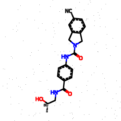 C[C@H](O)CNC(=O)c1ccc(NC(=O)N2Cc3ccc(C#N)cc3C2)cc1